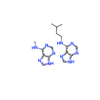 CC(C)CCNc1ncnc2[nH]cnc12.CNc1ncnc2[nH]cnc12